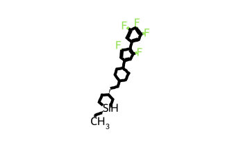 CCC[Si@H]1CC[C@H](CCC2CCC(c3cc(F)c(-c4cc(F)c(F)c(F)c4)c(F)c3)CC2)CC1